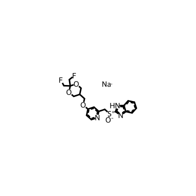 [Na].[O-][S+](Cc1cc(OCC2COC(CF)(CF)OC2)ccn1)c1nc2ccccc2[nH]1